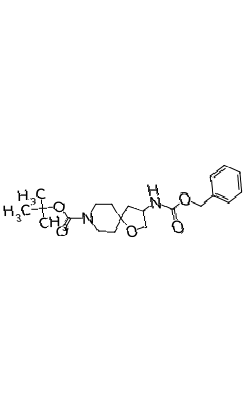 CC(C)(C)OC(=O)N1CCC2(CC1)CC(NC(=O)OCc1ccccc1)CO2